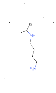 CCC(C)NCCCCN